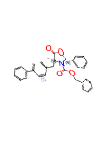 C=C(/C=C\C(=C)c1ccccc1)C[C@@]1(C)C(=O)O[C@H](c2ccccc2)N1C(=O)OCc1ccccc1